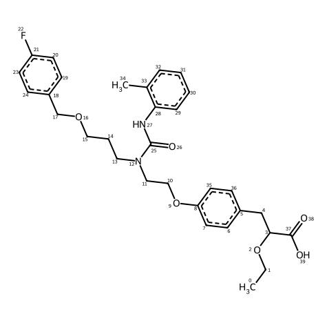 CCOC(Cc1ccc(OCCN(CCCOCc2ccc(F)cc2)C(=O)Nc2ccccc2C)cc1)C(=O)O